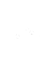 O=C(O)c1ccc2c(c1)[C@]1(CC[C@@H](Oc3cc(F)cc(Cl)c3)CC1)C(=O)N2